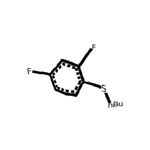 CCCCSc1ccc(F)cc1F